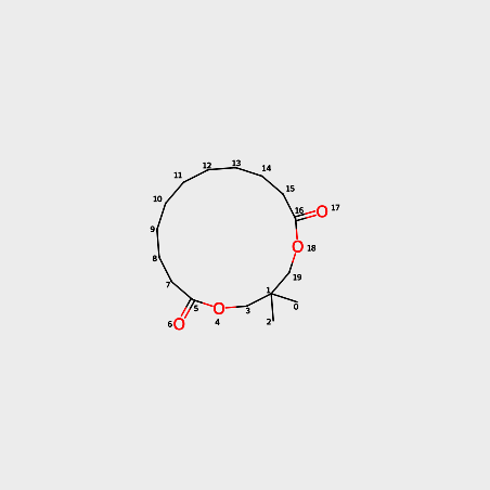 CC1(C)COC(=O)CCCCCCCCCC(=O)OC1